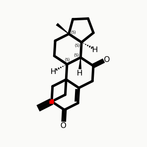 C#CCC12CCC(=O)C=C1CC(=O)[C@@H]1[C@@H]2CC[C@]2(C)CCC[C@@H]12